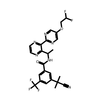 CC(NC(=O)c1cc(C(F)(F)F)cc(C(C)(C)C#N)c1)c1nccnc1-c1ncc(OCC(F)F)cn1